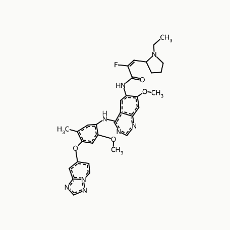 CCN1CCCC1/C=C(/F)C(=O)Nc1cc2c(Nc3cc(C)c(Oc4ccn5ncnc5c4)cc3OC)ncnc2cc1OC